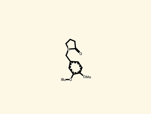 CCC(C)Oc1cc(CN2CCCC2=O)ccc1OC